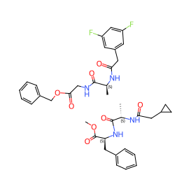 COC(=O)[C@H](Cc1ccccc1)NC(=O)[C@H](C)NC(=O)CC1CC1.C[C@H](NC(=O)Cc1cc(F)cc(F)c1)C(=O)NCC(=O)OCc1ccccc1